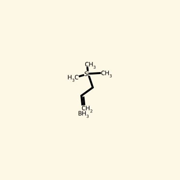 B.C=CC[Si](C)(C)C